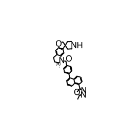 Cc1nnc(-c2cccc3c(-c4ccc(C(=O)N5c6cc7c(cc6CC[C@H]5C)OCC75CCNCC5)cc4)cccc23)o1